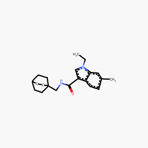 CCn1cc(C(=O)NCC23CCC(CC2)CC3)c2ccc(C)cc21